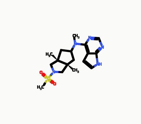 CN(c1ncnc2[nH]ccc12)C1C[C@@]2(C)CN(S(C)(=O)=O)C[C@@]2(C)C1